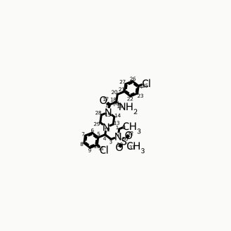 CCN(CC(c1ccccc1Cl)N1CCN(C(=O)[C@H](N)Cc2ccc(Cl)cc2)CC1)S(C)(=O)=O